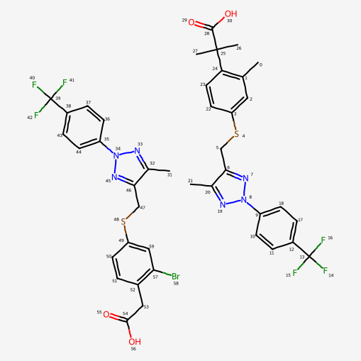 Cc1cc(SCc2nn(-c3ccc(C(F)(F)F)cc3)nc2C)ccc1C(C)(C)C(=O)O.Cc1nn(-c2ccc(C(F)(F)F)cc2)nc1CSc1ccc(CC(=O)O)c(Br)c1